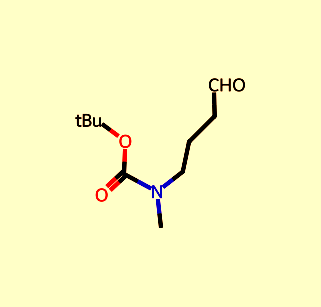 CN(CCCC=O)C(=O)OC(C)(C)C